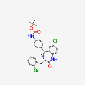 CC(C)(C)OC(=O)Nc1ccc(C2=NC(Cc3ccccc3Br)C(=O)Nc3ccc(Cl)cc32)cc1